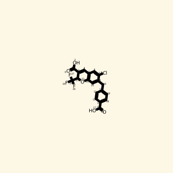 O=C(O)C1=Cc2cc(Cl)c(Cc3ccc(C(=O)O)cc3)cc2OC1C(F)(F)F